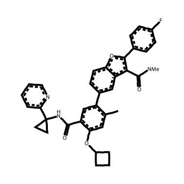 CNC(=O)c1c(-c2ccc(F)cc2)oc2ccc(-c3cc(C(=O)NC4(c5ccccn5)CC4)c(OC4CCC4)cc3C)cc12